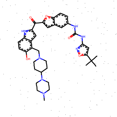 CN1CCN(C2CCN(Cc3c(O)ccc4[nH]c(C(=O)c5cc6cc(NC(=O)Nc7cc(C(C)(C)C)on7)ccc6o5)cc34)CC2)CC1